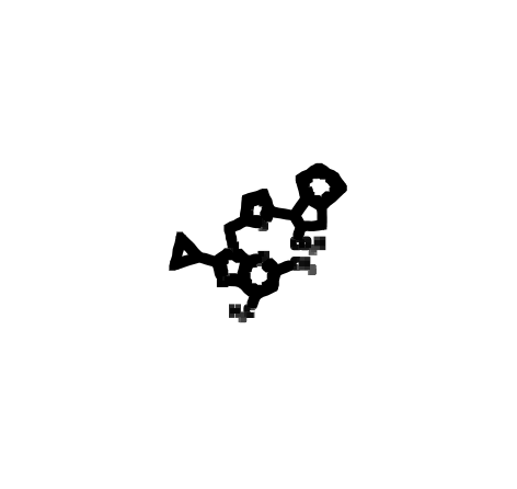 Cc1cc(C)c2nc(C3CC3)n(Cc3ccc(C4c5ccccc5CC4C(=O)O)s3)c2n1